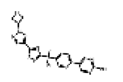 CC(C)C(C)(c1ccc(-c2cnc(N)nc2)cc1)c1noc(-c2cnn(C3COC3)c2)n1